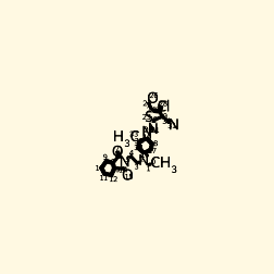 CCN(CCN1C(=O)c2ccccc2C1=O)c1ccc(/N=N/C2SC(C=O)=C(Cl)C2C#N)c(C)c1